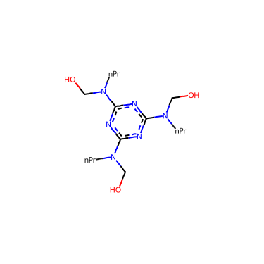 CCCN(CO)c1nc(N(CO)CCC)nc(N(CO)CCC)n1